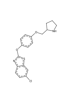 Clc1ccc2nc(Oc3ccc(OCC4CCCN4)cc3)sc2c1